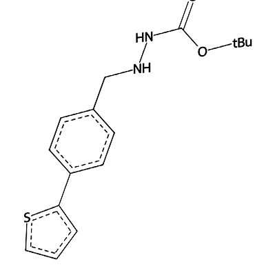 CC(C)(C)OC(=O)NNCc1ccc(-c2cccs2)cc1